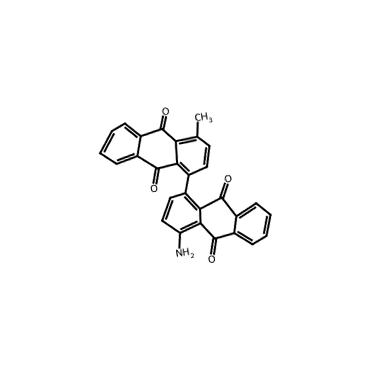 Cc1ccc(-c2ccc(N)c3c2C(=O)c2ccccc2C3=O)c2c1C(=O)c1ccccc1C2=O